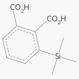 C[Si](C)(C)c1cccc(C(=O)O)c1C(=O)O